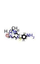 CC(C)N1CC(CN(CCCNC=O)Sc2ccc(N)cc2)C1